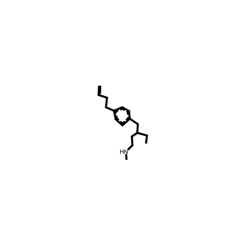 C=CCCc1ccc(CC(CC)CCNC)cc1